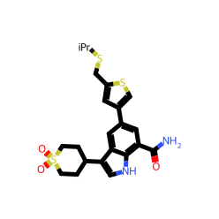 CC(C)SCc1cc(-c2cc(C(N)=O)c3[nH]cc(C4CCS(=O)(=O)CC4)c3c2)cs1